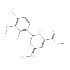 COC(=O)C1=CC(=NO)CC(c2ccc(Cl)c(OC)c2F)N1